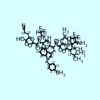 Bc1ccc(Cn2cc(C[C@@H](C(=O)N[C@@H](CCC(F)(F)F)C(=O)N(C)[C@@H](C)C(=O)O[C@H](CCC#N)C(=O)O)N(C)C(=O)[C@H](CC(C)C)NC(=O)[C@H](CC(C)C)N(C)C(=O)[C@@H](N)C(F)(F)F)c3ccccc32)cc1